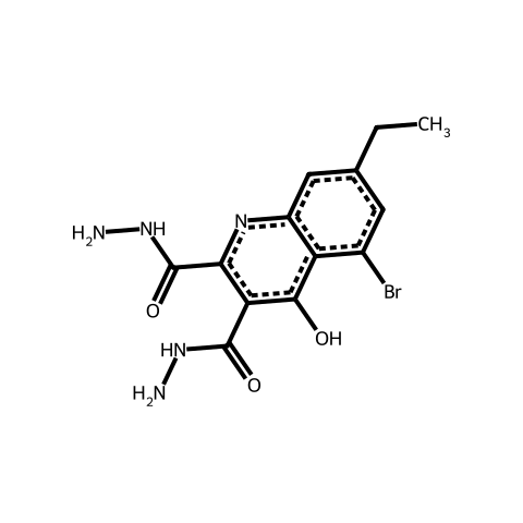 CCc1cc(Br)c2c(O)c(C(=O)NN)c(C(=O)NN)nc2c1